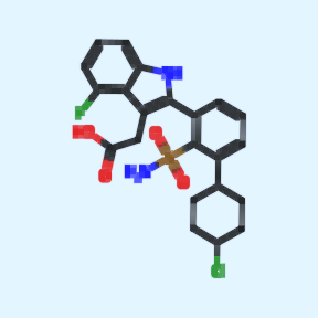 NS(=O)(=O)c1c(-c2[nH]c3cccc(F)c3c2CC(=O)O)cccc1C1CCC(Cl)CC1